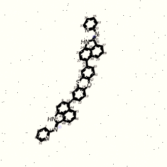 c1ccc(/N=C2\Nc3ccc(-c4ccc5c(c4)Sc4cc(-c6ccc7c8c(cccc68)/C(=N/c6ccccn6)N7)ccc4O5)c4cccc2c34)nc1